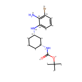 CC(C)(C)OC(=O)N[C@@H]1CCC[C@H](Nc2cccc(Br)c2N)C1